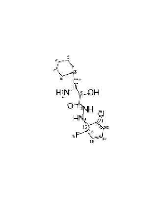 N[C@H](CC1CCCCC1)C(O)C(=O)NNc1c(F)cccc1Cl